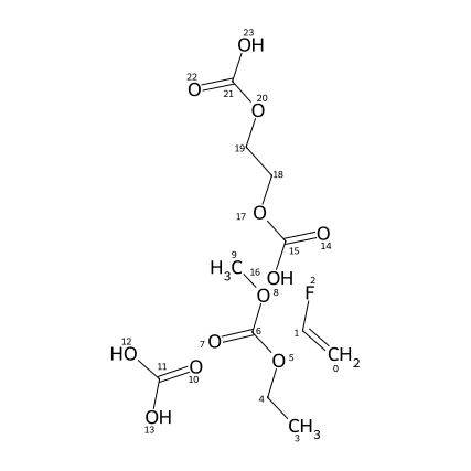 C=CF.CCOC(=O)OC.O=C(O)O.O=C(O)OCCOC(=O)O